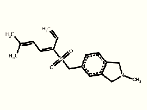 C=C/C(=C\C=C(C)C)S(=O)(=O)Cc1ccc2c(c1)CN(C)C2